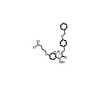 CCCCN(C(=O)[C@H](N)Cc1ccc(OCc2ccccc2)cc1)c1ccc(OCCCN(CC)CC)cc1